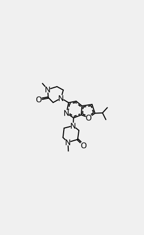 CC(C)c1cc2cc(N3CCN(C)C(=O)C3)nc(N3CCN(C)C(=O)C3)c2o1